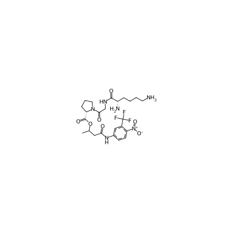 CC(CC(=O)Nc1ccc([N+](=O)[O-])c(C(F)(F)F)c1)OC(=O)[C@@H]1CCCN1C(=O)CNC(=O)[C@@H](N)CCCCN